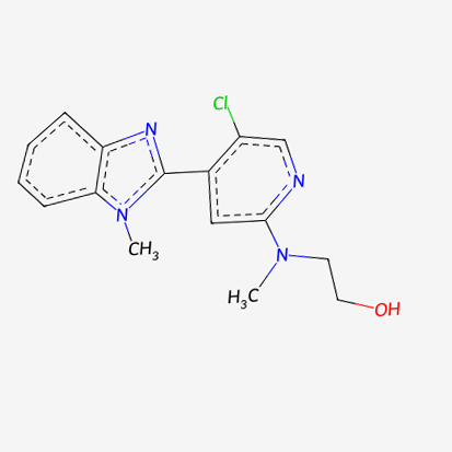 CN(CCO)c1cc(-c2nc3ccccc3n2C)c(Cl)cn1